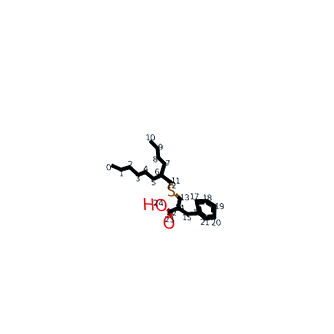 CCCCCCC(CCCC)CSCC(Cc1ccccc1)C(=O)O